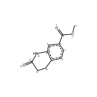 COC(=O)c1ccc2c(c1)NC(=O)CC2